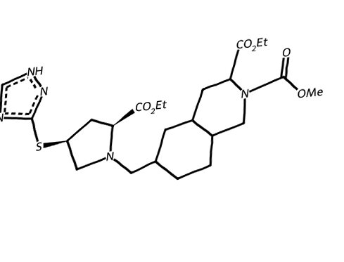 CCOC(=O)C1CC2CC(CN3C[C@@H](Sc4nc[nH]n4)C[C@H]3C(=O)OCC)CCC2CN1C(=O)OC